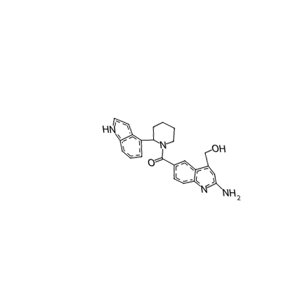 Nc1cc(CO)c2cc(C(=O)N3CCCCC3c3cccc4[nH]ccc34)ccc2n1